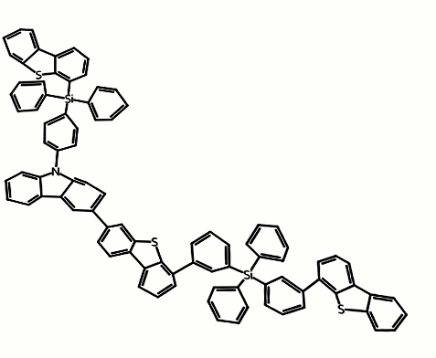 c1ccc([Si](c2ccccc2)(c2cccc(-c3cccc4c3sc3ccccc34)c2)c2cccc(-c3cccc4c3sc3cc(-c5ccc6c(c5)c5ccccc5n6-c5ccc([Si](c6ccccc6)(c6ccccc6)c6cccc7c6sc6ccccc67)cc5)ccc34)c2)cc1